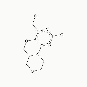 ClCc1nc(Cl)nc2c1OCC1COCCN21